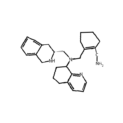 NCC1=C(CN(C[C@H]2Cc3ccccc3CN2)C2CCCc3cccnc32)CCCC1